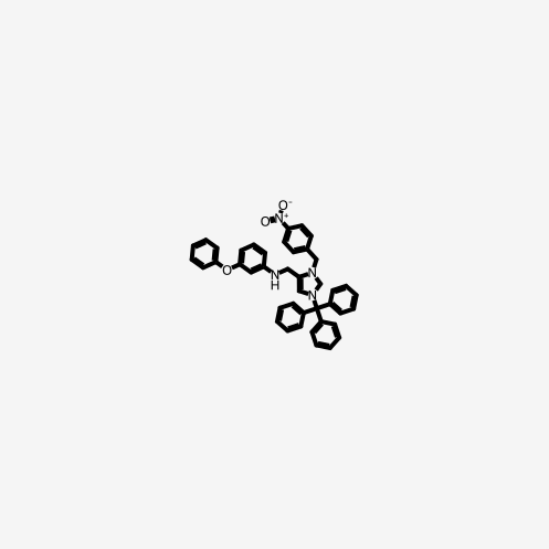 O=[N+]([O-])c1ccc(CN2CN(C(c3ccccc3)(c3ccccc3)c3ccccc3)C=C2CNc2cccc(Oc3ccccc3)c2)cc1